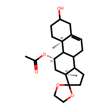 CC(=O)O[C@H]1C[C@@]2(C)C(CCC23OCCO3)C2CC=C3CC(O)CC[C@]3(C)C21